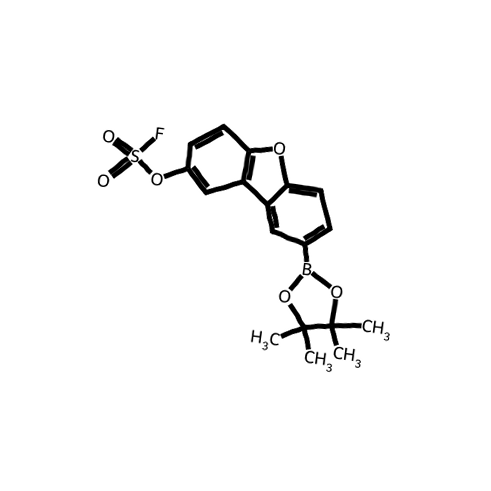 CC1(C)OB(c2ccc3oc4ccc(OS(=O)(=O)F)cc4c3c2)OC1(C)C